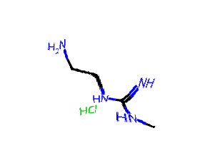 CNC(=N)NCCN.Cl